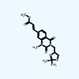 COC(=O)/C=C/c1ccc2c(=O)n(CC3COC(C)(C)O3)c(=O)n(C)c2c1